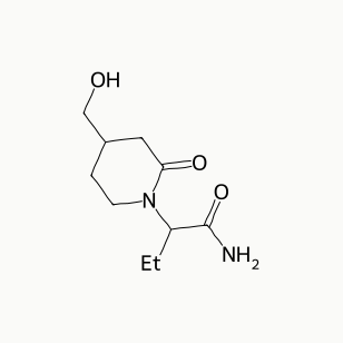 CCC(C(N)=O)N1CCC(CO)CC1=O